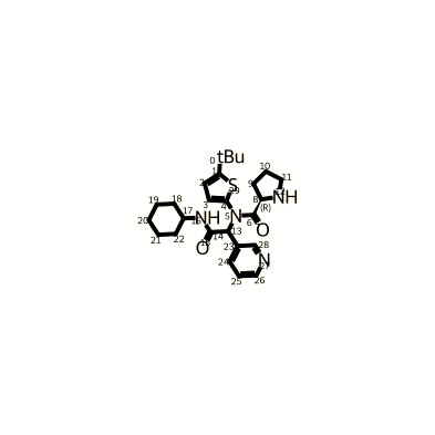 CC(C)(C)c1ccc(N(C(=O)[C@H]2CCCN2)C(C(=O)NC2CCCCC2)c2cccnc2)s1